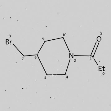 CCC(=O)N1CCC(CBr)CC1